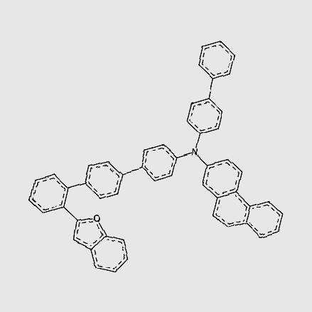 c1ccc(-c2ccc(N(c3ccc(-c4ccc(-c5ccccc5-c5cc6ccccc6o5)cc4)cc3)c3ccc4c(ccc5ccccc54)c3)cc2)cc1